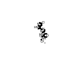 O=C(NCC(F)(F)F)C1(Nc2ccnc(-c3c[nH]c4ncc(Cl)cc34)n2)CCOCC1